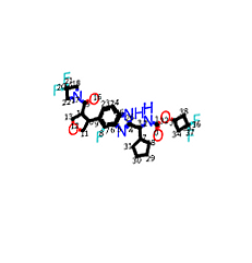 O=C(NC(c1nc2c(F)c(C3COCC3C(=O)N3CC(F)(F)C3)ccc2[nH]1)C1CCCC1)OC1CC(F)(F)C1